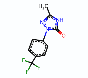 Cc1nn(-c2ccc(C(F)(F)F)cc2)c(=O)[nH]1